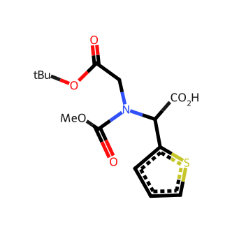 COC(=O)N(CC(=O)OC(C)(C)C)C(C(=O)O)c1cccs1